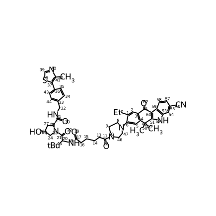 CCc1cc2c(cc1N1CCN(C(=O)CCCCC(=O)NC(C(=O)N3C[C@H](O)C[C@H]3C(=O)NCc3ccc(-c4scnc4C)cc3)C(C)(C)C)CC1)C(C)(C)c1[nH]c3cc(C#N)ccc3c1C2=O